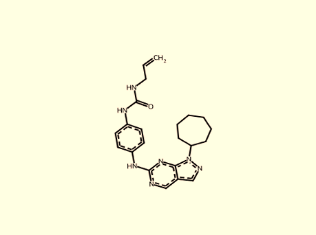 C=CCNC(=O)Nc1ccc(Nc2ncc3cnn(C4CCCCCC4)c3n2)cc1